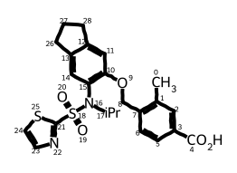 Cc1cc(C(=O)O)ccc1COc1cc2c(cc1N(C(C)C)S(=O)(=O)c1nccs1)CCC2